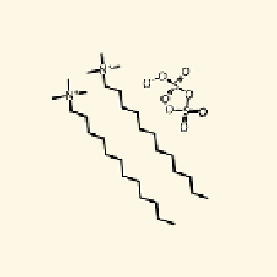 CCCCCCCCCCCC[N+](C)(C)C.CCCCCCCCCCCC[N+](C)(C)C.O=S(=O)([O-])OS(=O)(=O)O[O-]